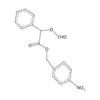 O=[C]OC(C(=O)OCc1ccc([N+](=O)[O-])cc1)c1ccccc1